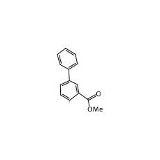 COC(=O)c1[c]ccc(-c2ccccc2)c1